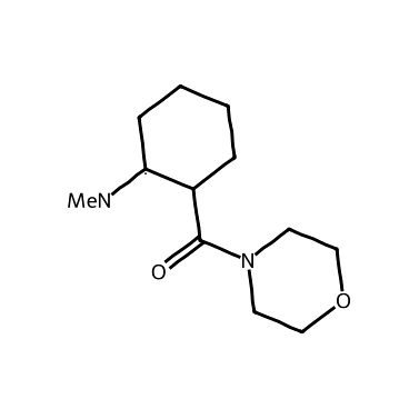 CN[C]1CCCCC1C(=O)N1CCOCC1